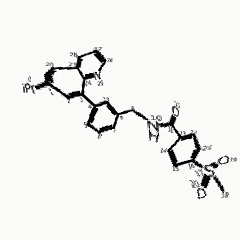 CC(C)c1cc(-c2cccc(CNC(=O)c3ccc(S(C)(=O)=O)cc3)c2)c2ncccc2c1